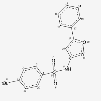 CC(C)(C)c1ccc(S(=O)(=O)Nc2cc(-c3ccccc3)on2)cc1